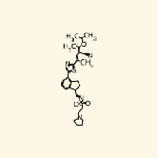 C/C(OC(C)C)=C(C#N)\C=C(/C)c1ncc(-c2cccc3c2CCC3/C=N/S(=O)(=O)CCN2CCCC2)s1